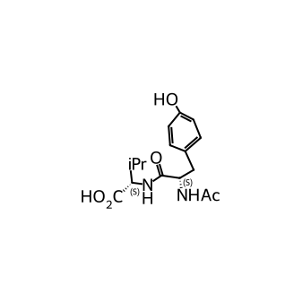 CC(=O)N[C@@H](Cc1ccc(O)cc1)C(=O)N[C@H](C(=O)O)C(C)C